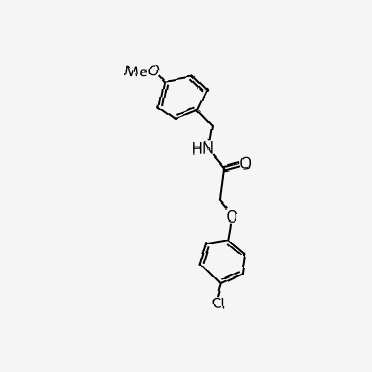 COc1ccc(CNC(=O)COc2ccc(Cl)cc2)cc1